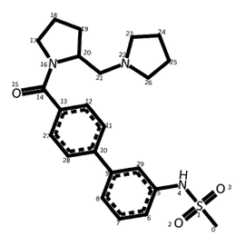 CS(=O)(=O)Nc1cccc(-c2ccc(C(=O)N3CCCC3CN3CCCC3)cc2)c1